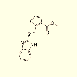 COC(=O)c1ccoc1CSc1nc2ccccc2[nH]1